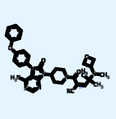 CN(C1COC1)C(C)(C)/C=C(/C#N)C(=O)N1CCC(n2c(=O)n(-c3ccc(Oc4ccccc4)cc3)c3c(N)ncnc32)CC1